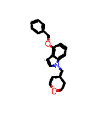 [c]1cn(CC2CCOCC2)c2cccc(OCc3ccccc3)c12